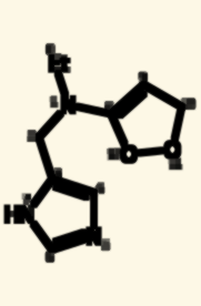 CCN(Cc1cnc[nH]1)C1=CCOO1